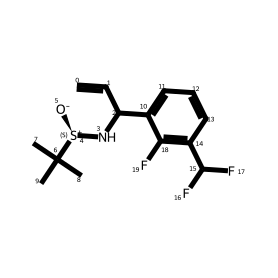 C=CC(N[S@+]([O-])C(C)(C)C)c1cccc(C(F)F)c1F